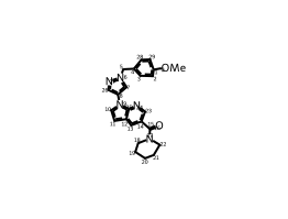 COc1ccc(Cn2cc(-n3ccc4cc(C(=O)N5CCCCC5)cnc43)cn2)cc1